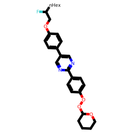 CCCCCCC(F)COc1ccc(-c2cnc(-c3ccc(OOC4CCCCO4)cc3)nc2)cc1